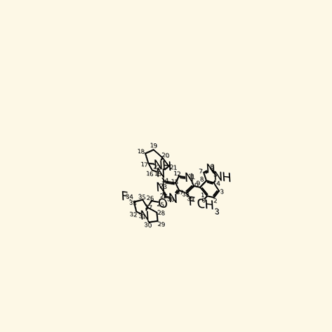 Cc1ccc2[nH]ncc2c1-c1ncc2c(N3CC4CCC(C3)N4)nc(OC[C@@]34CCCN3C[C@H](F)C4)nc2c1F